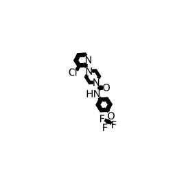 O=C(Nc1ccc(OC(F)(F)F)cc1)N1CCN(c2ncccc2Cl)CC1